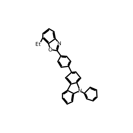 CCc1cccc2nc(-c3ccc(-c4ccc5c(c4)c4ccccc4n5-c4ccccc4)cc3)oc12